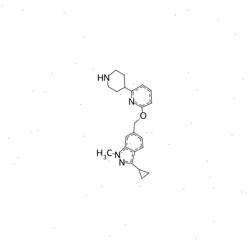 Cn1nc(C2CC2)c2ccc(COc3cccc(C4CCNCC4)n3)cc21